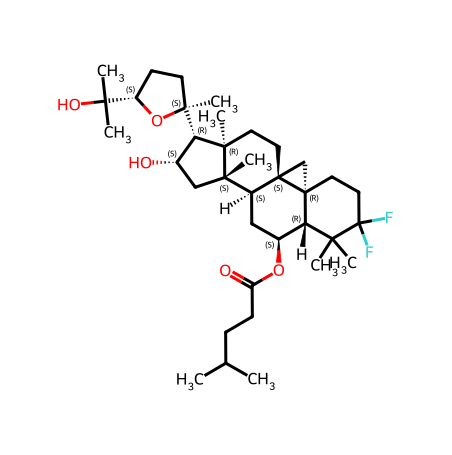 CC(C)CCC(=O)O[C@H]1C[C@@H]2[C@]3(CC[C@]4(C)[C@@H]([C@]5(C)CC[C@@H](C(C)(C)O)O5)[C@@H](O)C[C@@]24C)C[C@@]32CCC(F)(F)C(C)(C)[C@H]12